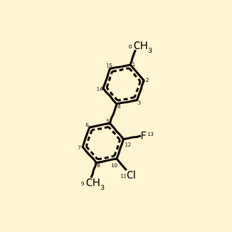 Cc1ccc(-c2ccc(C)c(Cl)c2F)cc1